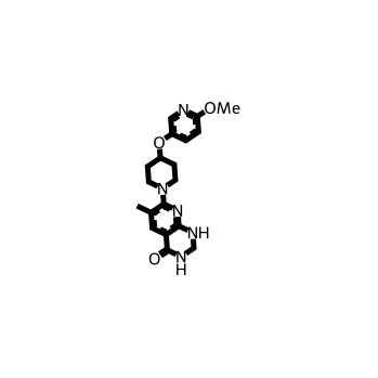 COc1ccc(OC2CCN(c3nc4c(cc3C)C(=O)NCN4)CC2)cn1